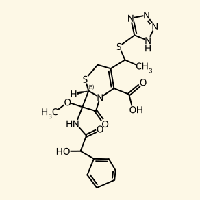 COC1(NC(=O)C(O)c2ccccc2)C(=O)N2C(C(=O)O)=C(C(C)Sc3nnn[nH]3)CS[C@H]21